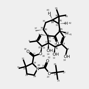 CC1=C[C@]23C(=O)[C@@H](C=C(CO)[C@@H](O)[C@]2(O)[C@H]1OC(=O)C1N(C(=O)OC(C)(C)C)CCC1(C)C)[C@H]1[C@@H](C[C@H]3C)C1(C)C